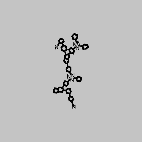 N#Cc1ccc(-c2cccc(-c3cc4ccccc4cc3-c3ccc(-c4nc(-c5ccccc5)nc(-c5ccc(-c6ccc7cc(-c8ccc(-c9ccccc9C#N)cc8)c(-c8ccc(-c9nc(-c%10ccccc%10)nc(-c%10ccccc%10)n9)cc8)cc7c6)cc5)n4)cc3)c2)cc1